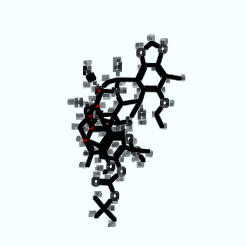 CCOc1c(C)c2c(c3c1[C@H]1SC[C@]4(NCCc5cc(OC(=O)OC(C)(C)C)c(OC)cc54)C(=O)OC[C@@H]3N3C1[C@@H]1c4c(cc(C)c(OC)c4OCC)C[C@@H]([C@@H]3C#N)N1C)OCO2